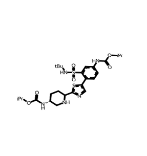 CC(C)OC(=O)Nc1ccc(-c2cnc(C3CC[C@@H](NC(=O)OC(C)C)CN3)s2)c(S(=O)(=O)NC(C)(C)C)c1